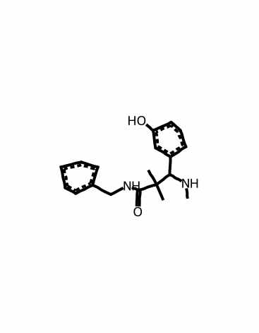 CNC(c1cccc(O)c1)C(C)(C)C(=O)NCc1ccccc1